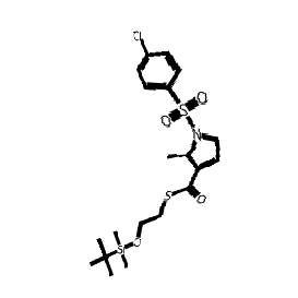 C[C@@H]1C(C(=O)SCCO[Si](C)(C)C(C)(C)C)=CCN1S(=O)(=O)c1ccc(Cl)cc1